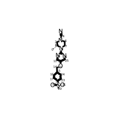 C[C@@H]1CN(C#N)CCN1c1ncc(OCc2ccc(S(C)(=O)=O)cc2)cn1